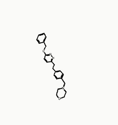 c1ccc(COc2ccc(CCc3ccc(CN4CCOCC4)cc3)nn2)cc1